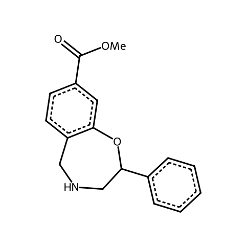 COC(=O)c1ccc2c(c1)OC(c1ccccc1)CNC2